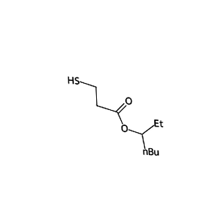 CCCCC(CC)OC(=O)CCS